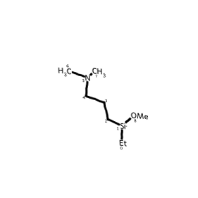 CC[Si](CCCN(C)C)OC